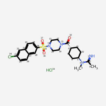 CC(=N)N(C)[C@H]1CC[C@H](C(=O)N2CCN(S(=O)(=O)c3ccc4cc(Cl)ccc4c3)CC2)CC1.Cl